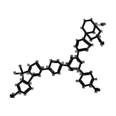 CC[C@@H]1C[C@@H]2CCCC(c3ccc(-c4nc(-c5ccc(-c6ccc7c(c6)-c6ccc(C#N)cc6C7(C)C)cc5)nc(-c5ccc(C(C)(C)C)cc5)n4)cc3)(C1)C2